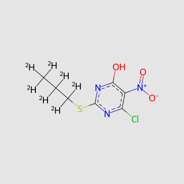 [2H]C([2H])([2H])C([2H])([2H])C([2H])([2H])Sc1nc(O)c([N+](=O)[O-])c(Cl)n1